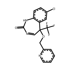 O=C1N=CC(OCc2ccccn2)(C(F)(F)F)c2cc(Cl)ccc2N1